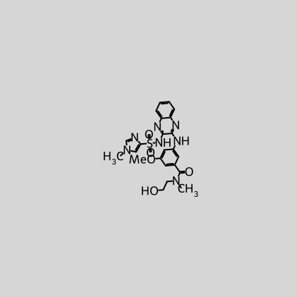 COc1cc(Nc2nc3ccccc3nc2NS(=O)(=O)c2cn(C)cn2)cc(C(=O)N(C)CCO)c1